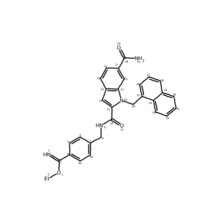 CCOC(=N)c1ccc(CNC(=O)c2cc3ccc(C(N)=O)cc3n2Cc2cccc3ccccc23)cc1